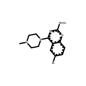 CC(=O)Nc1nc(N2CCN(C)CC2)c2cc(Br)ccc2n1